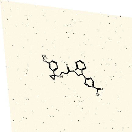 COc1cccc(C2(NCCC(=O)N3CC(c4ccc(C(=O)O)cc4)c4ccccc43)CC2)c1